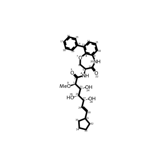 CO[C@@H](C(=O)N[C@H]1COc2c(cccc2-c2ccccc2)NC1=O)[C@H](O)[C@@H](O)[C@H](O)C=CC1CCCC1